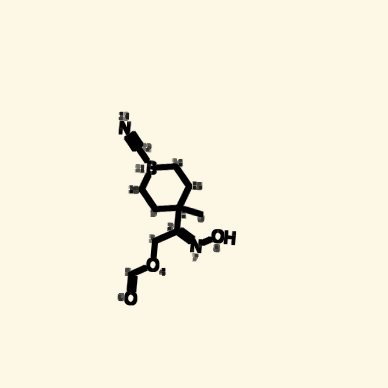 CC1(/C(COC=O)=N\O)CCB(C#N)CC1